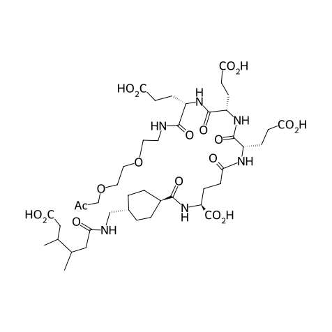 CC(=O)COCCOCCNC(=O)[C@H](CCC(=O)O)NC(=O)[C@H](CCC(=O)O)NC(=O)[C@H](CCC(=O)O)NC(=O)CC[C@H](NC(=O)[C@H]1CC[C@H](CNC(=O)CC(C)C(C)CC(=O)O)CC1)C(=O)O